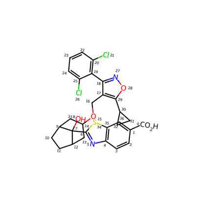 O=C(O)c1ccc2nc(C3(O)C4CCC3CC(OCc3c(-c5c(Cl)cccc5Cl)noc3C3CC3)C4)sc2c1